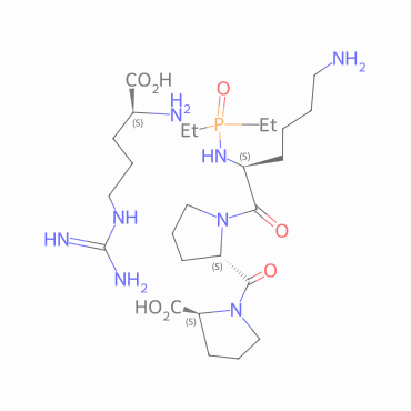 CCP(=O)(CC)N[C@@H](CCCCN)C(=O)N1CCC[C@H]1C(=O)N1CCC[C@H]1C(=O)O.N=C(N)NCCC[C@H](N)C(=O)O